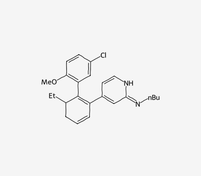 CCCC/N=c1/cc(C2=C(c3cc(Cl)ccc3OC)C(CC)CC=C2)cc[nH]1